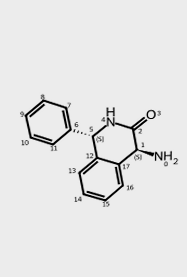 N[C@@H]1C(=O)N[C@@H](c2ccccc2)c2ccccc21